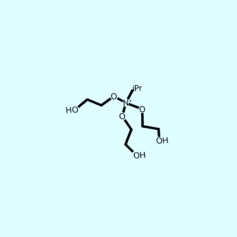 CC(C)[N+](OCCO)(OCCO)OCCO